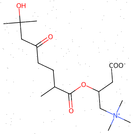 CC(CCC(=O)CC(C)(C)O)C(=O)OC(CC(=O)[O-])C[N+](C)(C)C